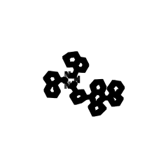 c1cc(-c2nc(-c3cccc4ccccc34)nc(-c3cccc4ccccc34)n2)cc(-c2c3ccccc3c(-c3cccc4ccccc34)c3ccccc23)c1